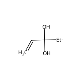 C=CC(O)(O)[CH]C